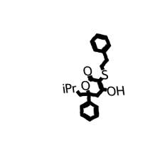 CC(C)CC1(c2ccccc2)CC(O)=C(SCCc2ccccc2)C(=O)O1